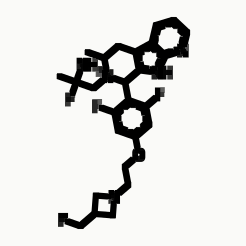 CC1Cc2c([nH]c3ncccc23)C(c2c(F)cc(OCCN3CC(CF)C3)cc2F)N1CC(C)(N)F